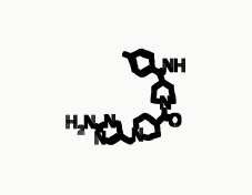 Cc1ccc(C(=N)C2CCN(C(=O)C3CCN(Cc4cnc(N)nc4)CC3)CC2)cc1